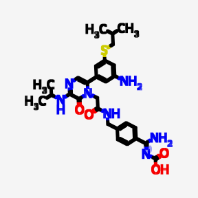 CC(C)CSc1cc(N)cc(-c2cnc(NC(C)C)c(=O)n2CC(=O)NCc2ccc(/C(N)=N/C(=O)O)cc2)c1